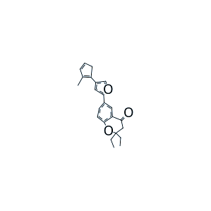 CCC1(CC)CC(=O)c2cc(-c3cc(C4=C(C)C=CC4)co3)ccc2O1